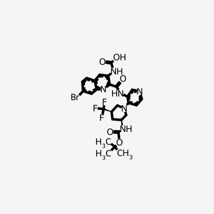 CC(C)(C)OC(=O)N[C@H]1C[C@@H](C(F)(F)F)CN(c2ccncc2NC(=O)c2nc3cc(Br)ccc3cc2NC(=O)O)C1